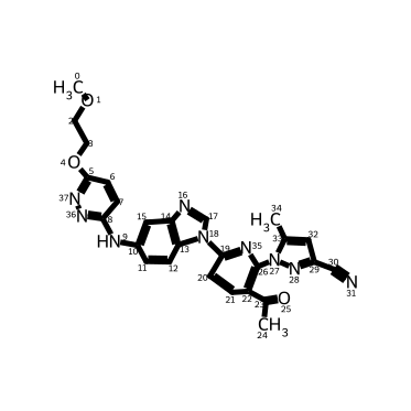 COCCOc1ccc(Nc2ccc3c(c2)ncn3-c2ccc(C(C)=O)c(-n3nc(C#N)cc3C)n2)nn1